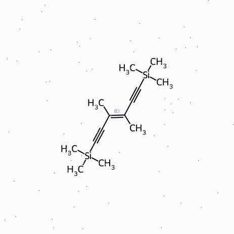 C/C(C#C[Si](C)(C)C)=C(/C)C#C[Si](C)(C)C